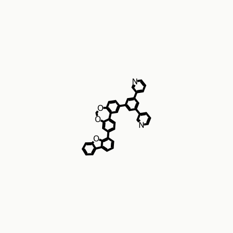 c1cncc(-c2cc(-c3cccnc3)cc(-c3ccc4c(c3)-c3ccc(-c5cccc6c5oc5ccccc56)cc3OCO4)c2)c1